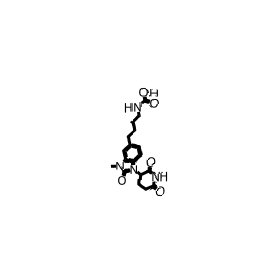 Cn1c(=O)n(C2CCC(=O)NC2=O)c2ccc(CCCCNC(=O)O)cc21